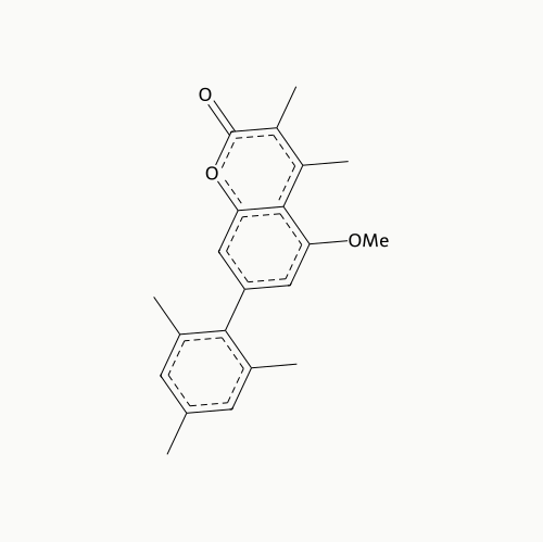 COc1cc(-c2c(C)cc(C)cc2C)cc2oc(=O)c(C)c(C)c12